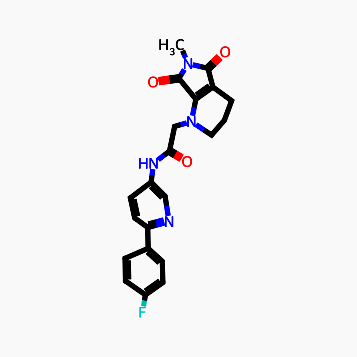 CN1C(=O)C2=C(C1=O)N(CC(=O)Nc1ccc(-c3ccc(F)cc3)nc1)CCC2